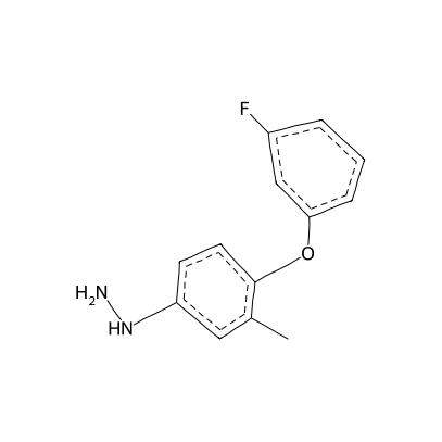 Cc1cc(NN)ccc1Oc1cccc(F)c1